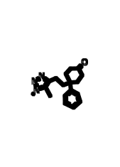 Cc1c(CCC2(c3ccccc3)CCC(=O)CC2)nnn1C